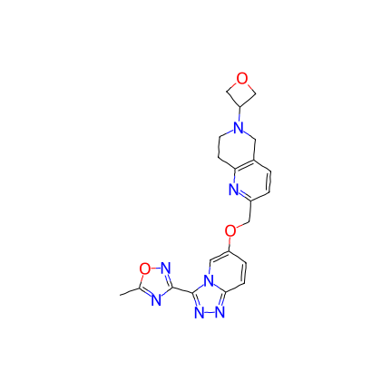 Cc1nc(-c2nnc3ccc(OCc4ccc5c(n4)CCN(C4COC4)C5)cn23)no1